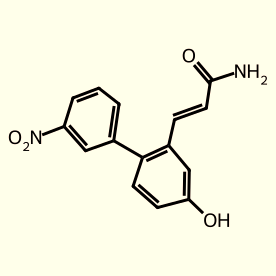 NC(=O)C=Cc1cc(O)ccc1-c1cccc([N+](=O)[O-])c1